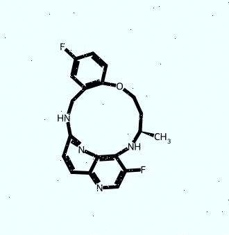 C[C@@H]1CCOc2ccc(F)cc2CNc2ccc3ncc(F)c(c3n2)N1